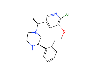 COc1cc([C@H](C)N2CCN[C@H](c3ccccc3C)C2)cnc1Cl